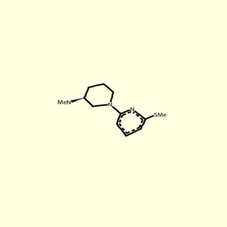 CN[C@H]1CCCN(c2cccc(SC)n2)C1